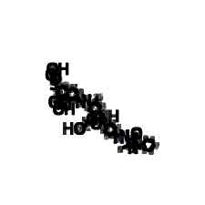 CC1=NN(c2ccccc2)C(=O)C1/N=N/c1ccc(C(=O)Nc2cc(C)c(/N=N/c3ccc4cc(SOOO)cc(S(=O)(=O)O)c4c3)cc2OCCO)cc1